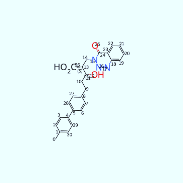 Cc1ccc(-c2ccc(CC[C@@H](O)[C@H](Cn3nnc4ccccc4c3=O)C(=O)O)cc2)cc1